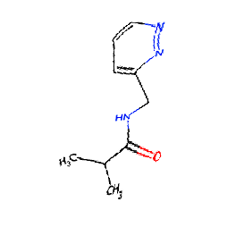 CC(C)C(=O)NCc1cccnn1